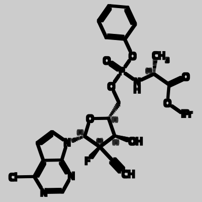 C#C[C@@]1(F)[C@H](O)[C@@H](COP(=O)(N[C@H](C)C(=O)OC(C)C)Oc2ccccc2)O[C@H]1n1ccc2c(Cl)ncnc21